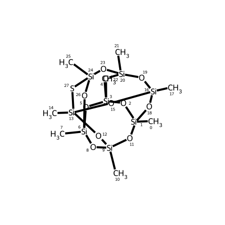 C[Si]12O[Si]3(C)O[Si]4(C)O[Si](C)(O1)O[Si]1(C)O[Si](C)(O2)O[Si](C)(O3)O[Si](C)(O4)S1